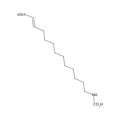 CCCCCCCCC=CCCCCCCCCCCNC(=O)O